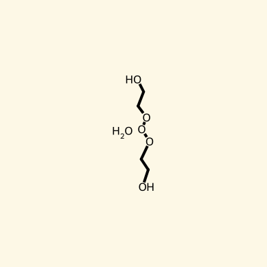 O.OCCOOOCCO